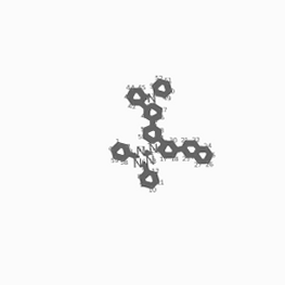 c1ccc(-c2nc(-c3ccccc3)nc(-n3c4ccc(-c5ccc6ccccc6c5)cc4c4cc(-c5ccc6c(c5)c5ccccc5n6-c5ccccc5)ccc43)n2)cc1